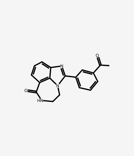 CC(=O)c1cccc(-c2nc3cccc4c3n2CCNC4=O)c1